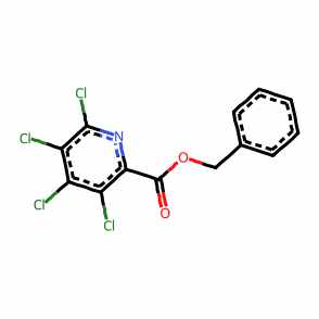 O=C(OCc1ccccc1)c1nc(Cl)c(Cl)c(Cl)c1Cl